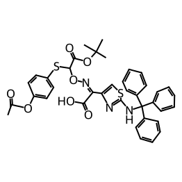 CC(=O)Oc1ccc(SC(O/N=C(\C(=O)O)c2csc(NC(c3ccccc3)(c3ccccc3)c3ccccc3)n2)C(=O)OC(C)(C)C)cc1